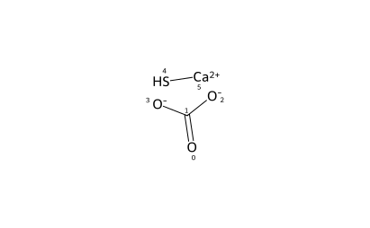 O=C([O-])[O-].[SH][Ca+2]